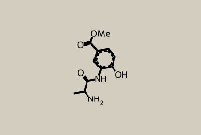 COC(=O)c1ccc(O)c(NC(=O)C(C)N)c1